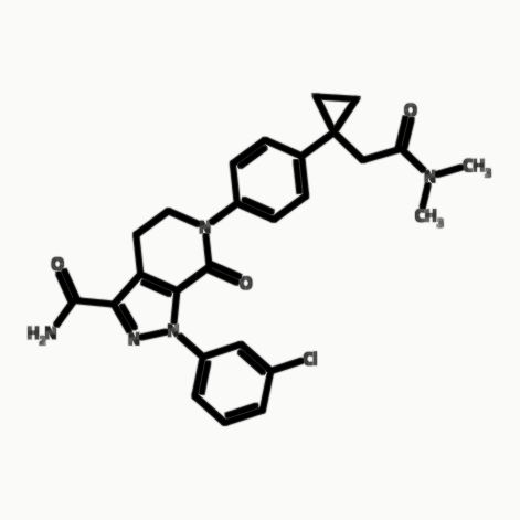 CN(C)C(=O)CC1(c2ccc(N3CCc4c(C(N)=O)nn(-c5cccc(Cl)c5)c4C3=O)cc2)CC1